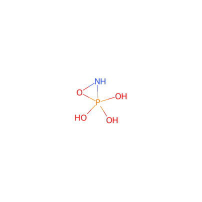 OP1(O)(O)NO1